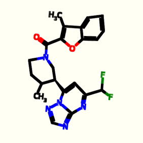 Cc1c(C(=O)N2CCC(C)[C@H](c3cc(C(F)F)nc4ncnn34)C2)oc2ccccc12